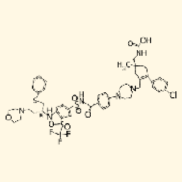 CC1(CNC(=O)O)CCC(c2ccc(Cl)cc2)=C(CN2CCN(c3ccc(C(=O)NS(=O)(=O)c4ccc(N[C@H](CCN5CCOCC5)CSc5ccccc5)c(S(=O)(=O)C(F)(F)F)c4)cc3)CC2)C1